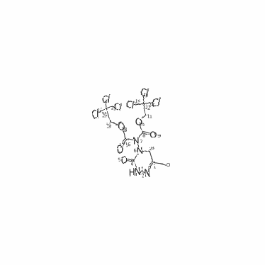 CC1=NNC(=O)N(N(C(=O)OCC(Cl)(Cl)Cl)C(=O)OCC(Cl)(Cl)Cl)C1